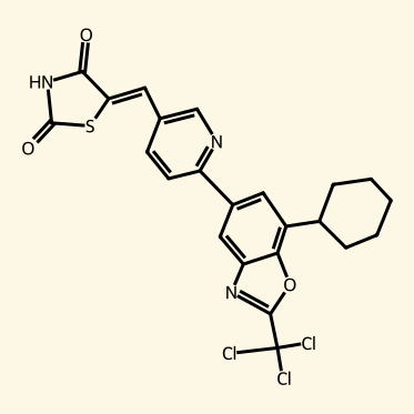 O=C1NC(=O)/C(=C/c2ccc(-c3cc(C4CCCCC4)c4oc(C(Cl)(Cl)Cl)nc4c3)nc2)S1